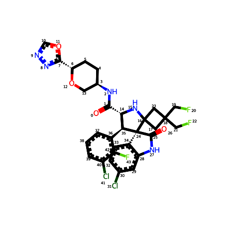 O=C(N[C@@H]1CC[C@@H](c2nnco2)OC1)[C@@H]1NC2(CC(CF)(CF)C2)[C@@]2(C(=O)Nc3cc(Cl)ccc32)[C@H]1c1cccc(Cl)c1F